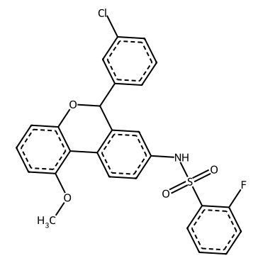 COc1cccc2c1-c1ccc(NS(=O)(=O)c3ccccc3F)cc1C(c1cccc(Cl)c1)O2